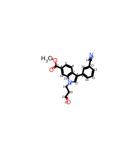 COC(=O)c1ccc2c(-c3cccc(C#N)c3)cn(CCC=O)c2c1